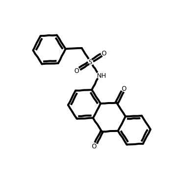 O=C1c2ccccc2C(=O)c2c(NS(=O)(=O)Cc3ccccc3)cccc21